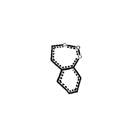 [c]1cc2ccccc2ooo1